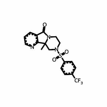 CC12CN(S(=O)(=O)c3ccc(C(F)(F)F)cc3)CCN1C(=O)c1cccnc12